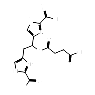 CC(=O)c1nc(CC(OC(=O)CCC(=O)O)c2c[nH]c(C(C)=O)n2)c[nH]1